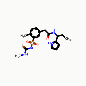 CCC(NC(=O)Cc1ccc(C)c(S(=O)(=O)NC(=S)NC)c1)c1ccc[nH]1